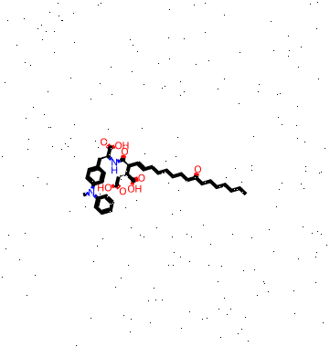 CCCCCCCC(=O)CCCCCC/C=C/[C@H](C(=O)N[C@@H](Cc1ccc(N(C)c2ccccc2)cc1)C(=O)O)[C@@H](CC(=O)O)C(=O)O